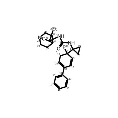 CCC1(NC(=O)NC2(C3(F)C=CC(c4ccccc4)=CC3)CC2)CN2CCC1CC2